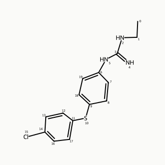 CCNC(=N)Nc1ccc(Sc2ccc(Cl)cc2)cc1